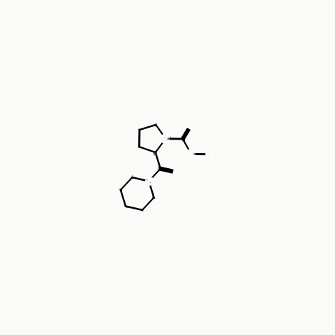 CC(C)(C)OC(=O)N1CCCC1C(=O)N1CCCCC1